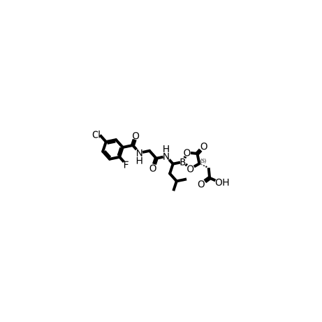 CC(C)CC(NC(=O)CNC(=O)c1cc(Cl)ccc1F)B1OC(=O)[C@H](CC(=O)O)O1